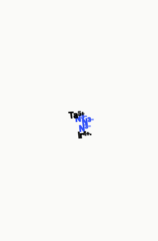 [Ir+4].[N-3].[N-3].[N-3].[Ta+5]